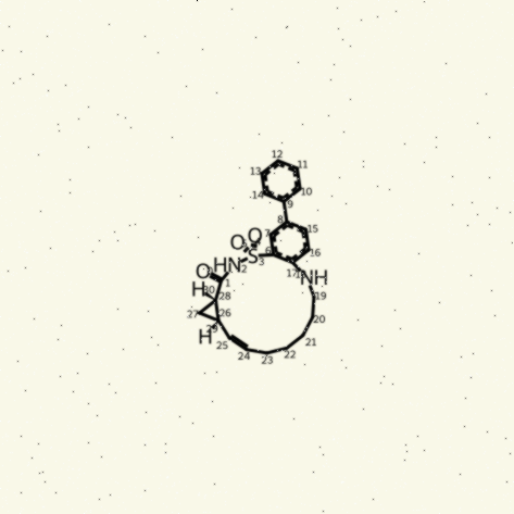 O=C1NS(=O)(=O)c2cc(-c3ccccc3)ccc2NCCCCC/C=C\[C@@H]2C[C@H]12